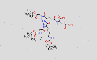 CC(C)(C)OC(=O)CNC(=O)C(CCC(=O)NC(CCC(=O)O)C(=O)O)NC(=O)C(CCCCNC(=O)OC(C)(C)C)NC(=O)CNC(=O)OC(C)(C)C